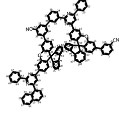 N#Cc1cccc(-c2ccc3c(c2)Oc2cc(-c4cc(-c5ccccc5)nc(-c5cccc(-c6cc(C#N)cc(-c7ccc8c(c7)Oc7cc(-c9cc(-c%10cccc%11ccccc%10%11)nc(-c%10ccccc%10)n9)ccc7C87c8ccccc8-c8ccccc87)c6)c5)n4)ccc2C32c3ccccc3-c3ccccc32)c1